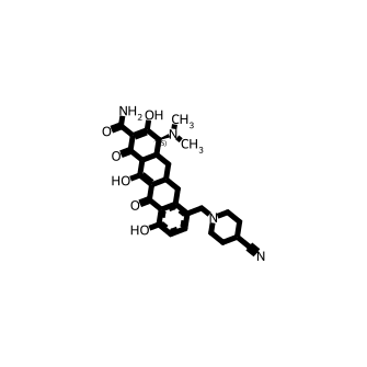 CN(C)[C@@H]1C(O)=C(C(N)=O)C(=O)C2C(O)=C3C(=O)c4c(O)ccc(CN5CCC(C#N)CC5)c4CC3CC21